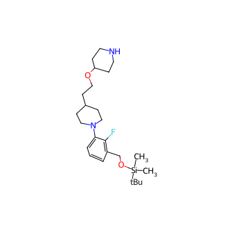 CC(C)(C)[Si](C)(C)OCc1cccc(N2CCC(CCOC3CCNCC3)CC2)c1F